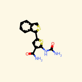 NC(=O)Nc1sc(-c2scc3ccccc23)cc1C(N)=O